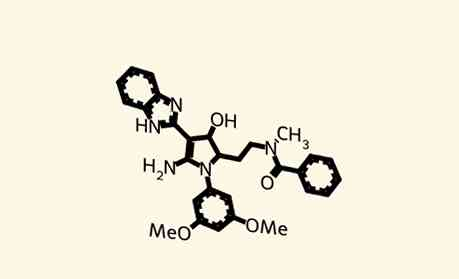 COc1cc(OC)cc(N2C(N)=C(c3nc4ccccc4[nH]3)C(O)C2CCN(C)C(=O)c2ccccc2)c1